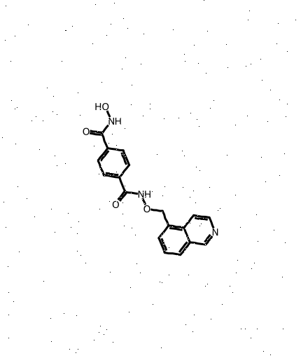 O=C(NO)c1ccc(C(=O)NOCc2cccc3cnccc23)cc1